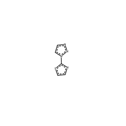 c1cn(-c2nccs2)nn1